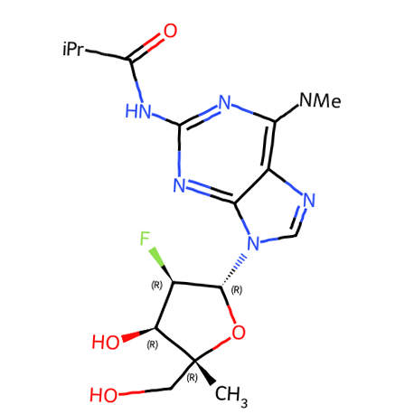 CNc1nc(NC(=O)C(C)C)nc2c1ncn2[C@@H]1O[C@](C)(CO)[C@@H](O)[C@H]1F